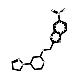 O=[N+]([O-])c1ccc2nc(CSC3CC(N4CCC=N4)CCO3)oc2c1